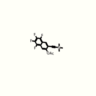 CC(=O)Oc1cc2c(F)c(F)c(F)c(F)c2cc1C#C[Si](C)(C)C